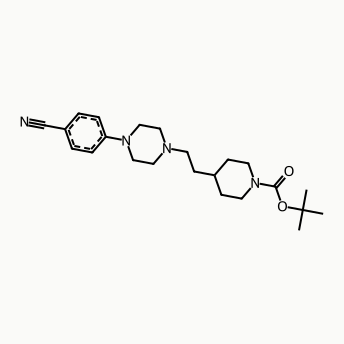 CC(C)(C)OC(=O)N1CCC(CCN2CCN(c3ccc(C#N)cc3)CC2)CC1